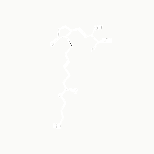 CCCCC(F)C(O)C=C[C@H]1CCC(=O)[C@@H]1CC/C=C/CCC(=O)OCCCO